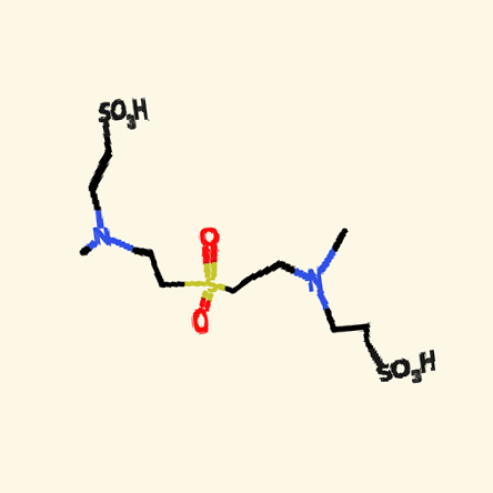 CN(CCS(=O)(=O)O)CCS(=O)(=O)CCN(C)CCS(=O)(=O)O